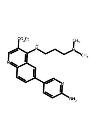 CCOC(=O)c1cnc2ccc(-c3ccc(N)nc3)cc2c1NCCCN(C)C